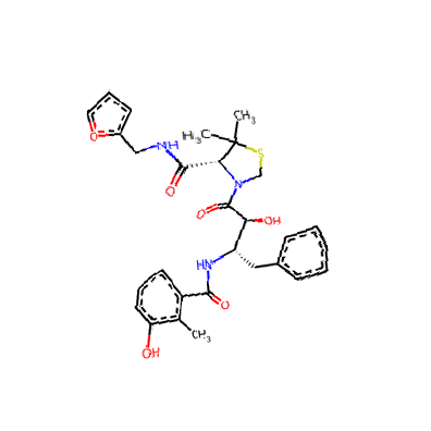 Cc1c(O)cccc1C(=O)N[C@@H](Cc1ccccc1)[C@H](O)C(=O)N1CSC(C)(C)[C@H]1C(=O)NCc1ccco1